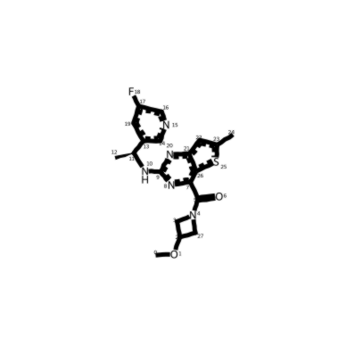 COC1CN(C(=O)c2nc(N[C@@H](C)c3cncc(F)c3)nc3cc(C)sc23)C1